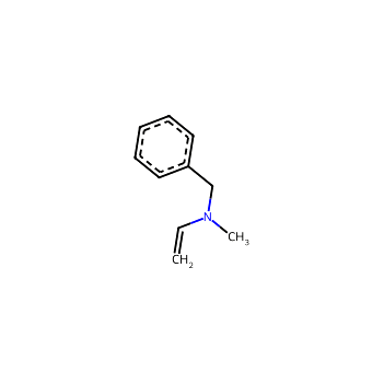 C=CN(C)Cc1ccccc1